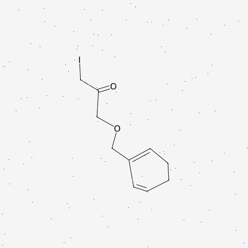 O=C(CI)COCC1=CCCC=C1